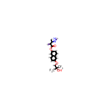 CC(NI)C(I)C(=O)Oc1ccc2cc(OCC(O)(C(F)(F)F)C(F)(F)F)ccc2c1